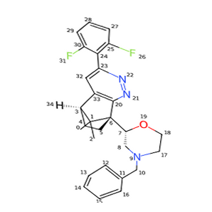 CC1(C)[C@H]2CC[C@]1([C@H]1CN(Cc3ccccc3)CCO1)c1nnc(-c3c(F)cccc3F)cc12